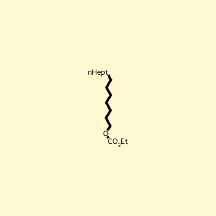 CCCCCCCCCCCCCCOC(=O)OCC